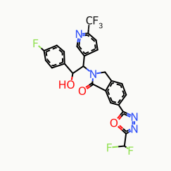 O=C1c2cc(-c3nnc(C(F)F)o3)ccc2CN1C(c1ccc(C(F)(F)F)nc1)C(O)c1ccc(F)cc1